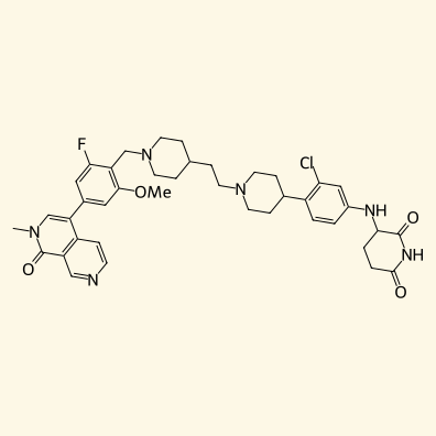 COc1cc(-c2cn(C)c(=O)c3cnccc23)cc(F)c1CN1CCC(CCN2CCC(c3ccc(NC4CCC(=O)NC4=O)cc3Cl)CC2)CC1